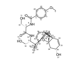 COc1ccc(C(=O)N[C@@H](CO)C(=O)N[C@@H](CO)C(=O)N2CC[C@@]34C=C[C@H](O)C[C@@H]3Oc3c(OC)ccc(c34)C2)cc1